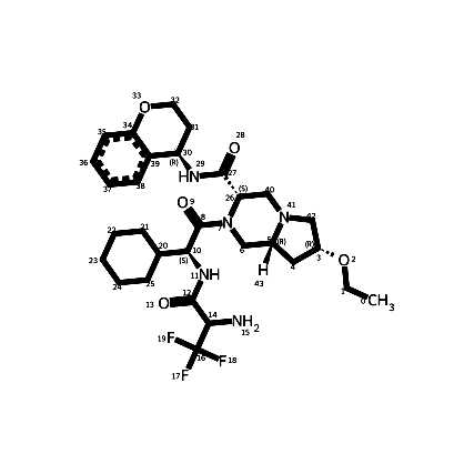 CCO[C@@H]1C[C@@H]2CN(C(=O)[C@@H](NC(=O)C(N)C(F)(F)F)C3CCCCC3)[C@H](C(=O)N[C@@H]3CCOc4ccccc43)CN2C1